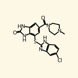 CN1CCN(C(=O)c2cc(Sc3nc4cc(Cl)ccc4[nH]3)c3[nH]c(=O)[nH]c3c2)CC1